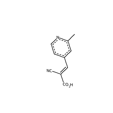 Cc1cc(/C=C(\C#N)C(=O)O)ccn1